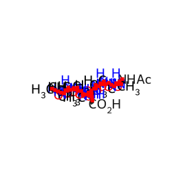 CC(=O)Nc1cc(C(=O)Nc2cn(C)c(C(=O)Nc3cc(C(=O)Nc4cc(C(=O)NCC[C@@H](NC(=O)CCCCC(=O)O)C(=O)Nc5cn(C)c(C(=O)Nc6cc(C(=O)Nc7cc(C(=O)Nc8cn(C)c(C(=O)NCCCN(C)C)n8)n(C)c7)n(C)c6)n5)n(C)c4)n(C)c3)n2)n(C)c1